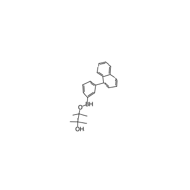 CC(C)(O)C(C)(C)OBc1cccc(-c2cccc3ccccc23)c1